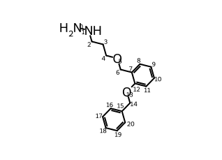 NNCCCOCc1ccccc1OCc1ccccc1